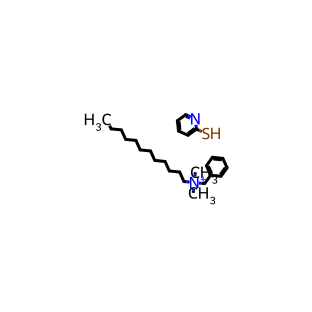 CCCCCCCCCCCC[N+](C)(C)Cc1ccccc1.Sc1ccccn1